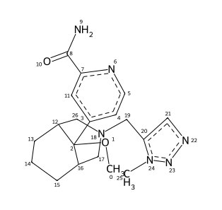 COC1(c2ccnc(C(N)=O)c2)C2CCCC1CN(Cc1cnnn1C)C2